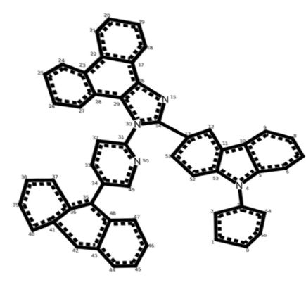 c1ccc(-n2c3ccccc3c3cc(-c4nc5c6ccccc6c6ccccc6c5n4-c4ccc(-c5c6ccccc6cc6ccccc56)cn4)ccc32)cc1